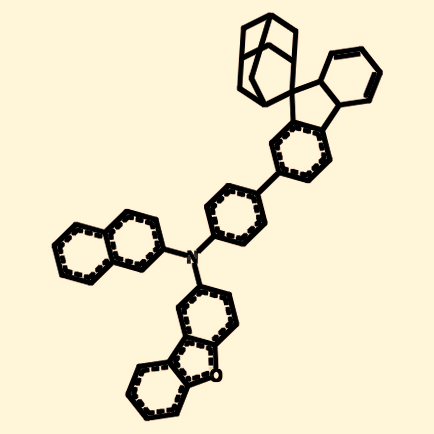 C1=CC2c3ccc(-c4ccc(N(c5ccc6ccccc6c5)c5ccc6oc7ccccc7c6c5)cc4)cc3C3(C4CC5CC(C4)CC3C5)C2C=C1